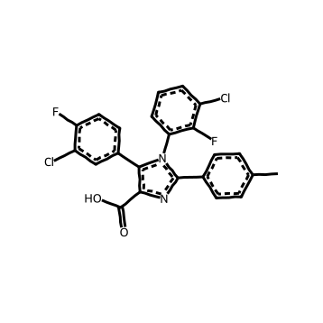 Cc1ccc(-c2nc(C(=O)O)c(-c3ccc(F)c(Cl)c3)n2-c2cccc(Cl)c2F)cc1